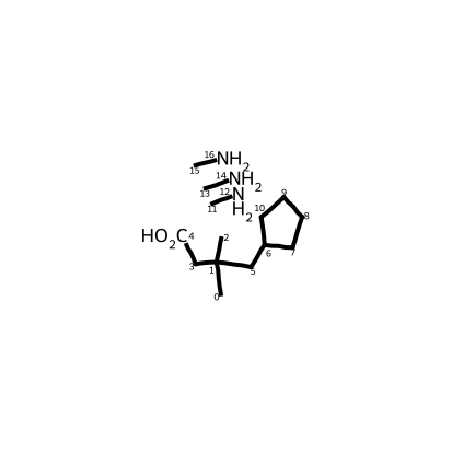 CC(C)(CC(=O)O)CC1CCCC1.CN.CN.CN